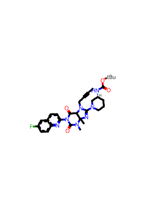 CC#CCN1C(N2CCC[C@@H](NC(=O)OC(C)(C)C)C2)=NC2(C)C1C(=O)N(c1ccc3cc(F)ccc3n1)C(=O)N2C